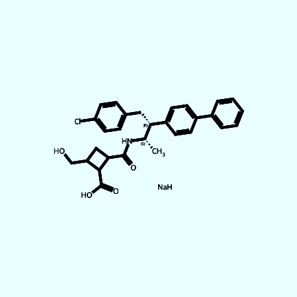 C[C@H](NC(=O)C1CC(CO)C1C(=O)O)[C@H](Cc1ccc(Cl)cc1)c1ccc(-c2ccccc2)cc1.[NaH]